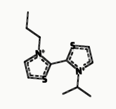 CCC[n+]1ccsc1-c1scc[n+]1C(C)C